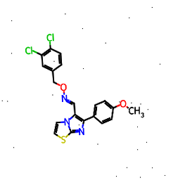 COc1ccc(-c2nc3sccn3c2C=NOCc2ccc(Cl)c(Cl)c2)cc1